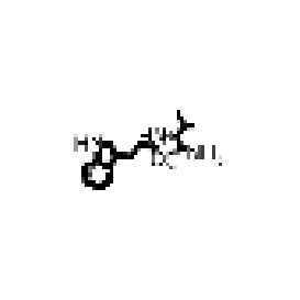 CC(C)[C@@H](NC(=O)CCc1c[nH]c2ccccc12)C(N)=O